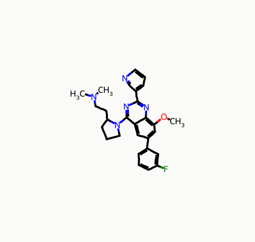 COc1cc(-c2cccc(F)c2)cc2c(N3CCCC3CCN(C)C)nc(-c3cccnc3)nc12